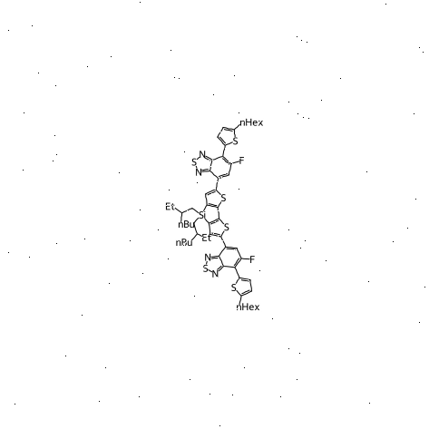 CCCCCCc1ccc(-c2c(F)cc(-c3cc4c(s3)-c3sc(-c5cc(F)c(-c6ccc(CCCCCC)s6)c6nsnc56)cc3[Si]4(CC(CC)CCCC)CC(CC)CCCC)c3nsnc23)s1